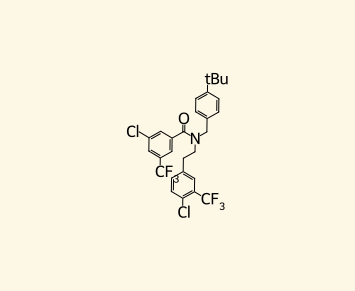 CC(C)(C)c1ccc(CN(CCc2ccc(Cl)c(C(F)(F)F)c2)C(=O)c2cc(Cl)cc(C(F)(F)F)c2)cc1